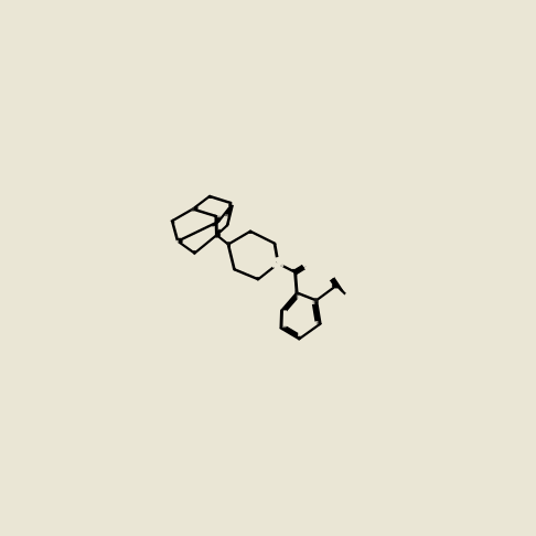 O=C(O)c1ccccc1C(=O)N1CCC(C23CC4CC(CC(C4)C2)C3)CC1